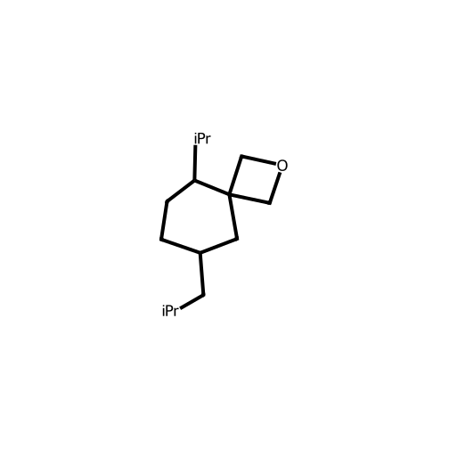 CC(C)CC1CCC(C(C)C)C2(COC2)C1